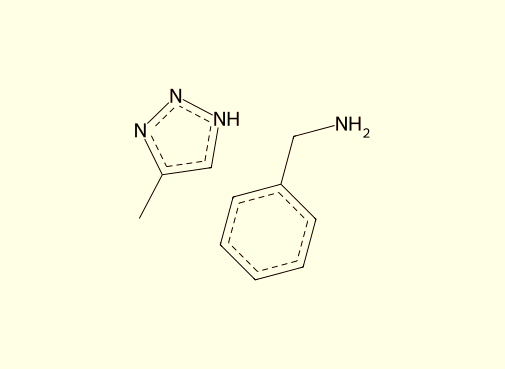 Cc1c[nH]nn1.NCc1ccccc1